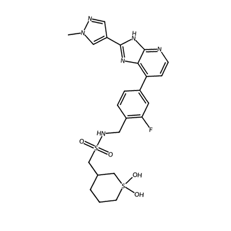 Cn1cc(-c2nc3c(-c4ccc(CNS(=O)(=O)CC5CCCS(O)(O)C5)c(F)c4)ccnc3[nH]2)cn1